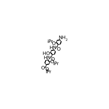 CC(C)OC(=O)c1ccc(NC(=O)c2ccc(NC(=O)c3ccc(N)cc3OC(C)C)cc2O)c(OC(C)C)c1